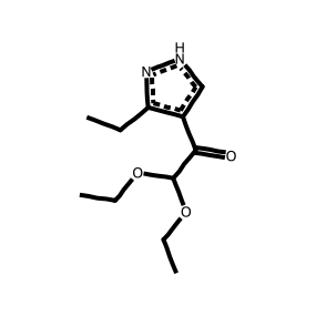 CCOC(OCC)C(=O)c1c[nH]nc1CC